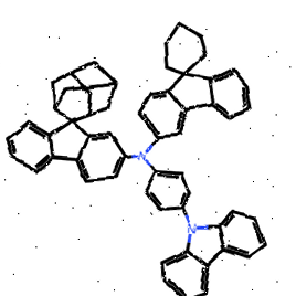 c1ccc2c(c1)-c1cc(N(c3ccc(-n4c5ccccc5c5ccccc54)cc3)c3ccc4c(c3)C3(c5ccccc5-4)C4CC5CC(C4)CC3C5)ccc1C21CCCCC1